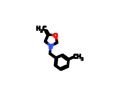 C=C1CN(Cc2cccc(C)c2)CO1